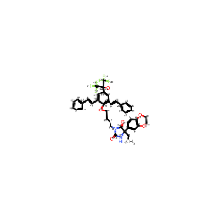 CCC1(c2ccc3c(c2)OCCO3)NC(=O)N(CCCCOc2c(C=Cc3ccccc3)cc(C(O)(C(F)(F)F)C(F)(F)F)cc2C=Cc2ccccc2)C1=O